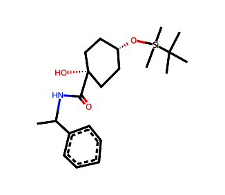 CC(NC(=O)[C@]1(O)CC[C@@H](O[Si](C)(C)C(C)(C)C)CC1)c1ccccc1